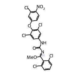 CO/C(=N\C(=O)Nc1cc(Cl)c(Oc2ccc([N+](=O)[O-])c(Cl)c2)c(Cl)c1)c1c(Cl)cccc1Cl